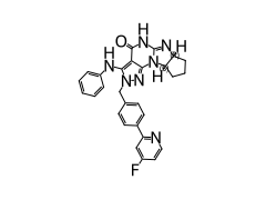 O=C1NC2=N[C@@H]3CCC[C@@H]3N2c2nn(Cc3ccc(-c4cc(F)ccn4)cc3)c(Nc3ccccc3)c21